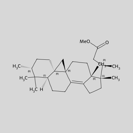 COC(=O)C[C@@H](C)[C@]1(C)CCC2=C3CC[C@H]4C(C)(C)[C@H](C)CC[C@@]45C[C@@]35CC[C@@]21C